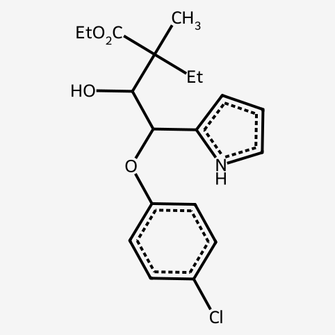 CCOC(=O)C(C)(CC)C(O)C(Oc1ccc(Cl)cc1)c1ccc[nH]1